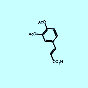 CC(=O)Oc1ccc(C=CC(=O)O)cc1OC(C)=O